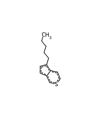 CCCCCc1ccc2csccc1-2